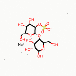 O=S(=O)([O-])O[C@H]1[C@H](O[C@H]2[C@H](O)[C@@H](O)[C@H](O)O[C@@H]2CO)O[C@H](CO)[C@H](O)[C@@H]1O.[Na+]